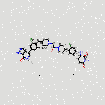 COc1cc(-c2cn(C)c(=O)c3[nH]ncc23)cc(F)c1CC1CCN(CC(=O)N2CCC(c3ccc(NC4CCC(=O)NC4=O)cc3F)CC2)CC1